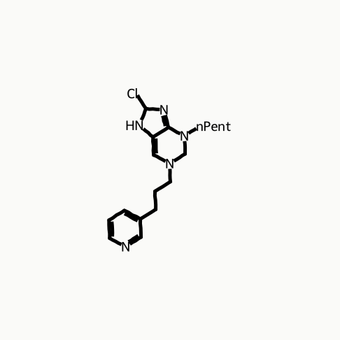 CCCCCN1CN(CCCc2cccnc2)C=C2NC(Cl)N=C21